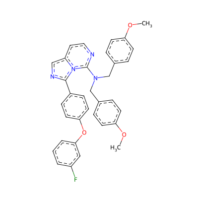 COc1ccc(CN(Cc2ccc(OC)cc2)c2nccc3cnc(-c4ccc(Oc5cccc(F)c5)cc4)n23)cc1